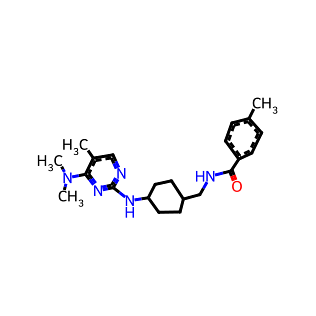 Cc1ccc(C(=O)NCC2CCC(Nc3ncc(C)c(N(C)C)n3)CC2)cc1